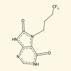 O=c1[nH]cnc2[nH]c(=O)n(CCCC(F)(F)F)c12